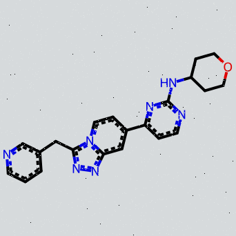 c1cncc(Cc2nnc3cc(-c4ccnc(NC5CCOCC5)n4)ccn23)c1